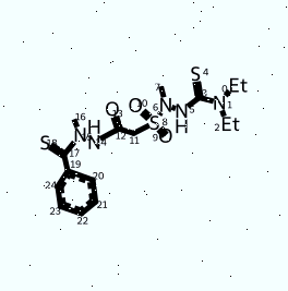 CCN(CC)C(=S)NN(C)S(=O)(=O)CC(=O)NN(C)C(=S)c1ccccc1